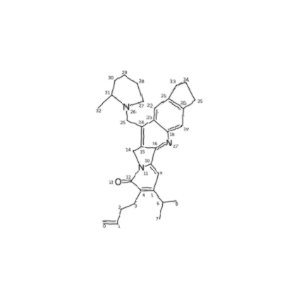 C=CCCc1c(C(C)C)cc2n(c1=O)Cc1c-2nc2cc3c(cc2c1CN1CCCCC1C)CCC3